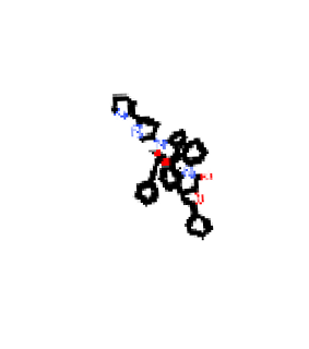 O=c1c2oc(-c3ccccc3)cc2c2cccc3c2n1-c1ccccc1C31c2ccccc2N(c2ccc(-c3ccccn3)nc2)c2ccc(-c3ccccc3)cc21